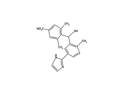 Cc1ccc(-c2ncc[nH]2)cc1C(O)c1c(C)cc(C(=O)O)cc1C